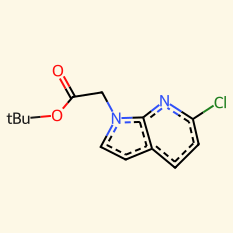 CC(C)(C)OC(=O)Cn1ccc2ccc(Cl)nc21